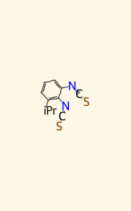 CC(C)c1cccc(N=C=S)c1N=C=S